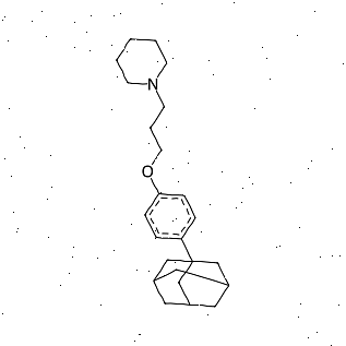 c1cc(C23CC4CC(CC(C4)C2)C3)ccc1OCCCN1CCCCC1